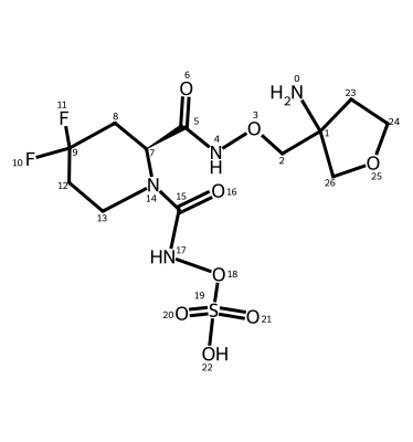 NC1(CONC(=O)[C@@H]2CC(F)(F)CCN2C(=O)NOS(=O)(=O)O)CCOC1